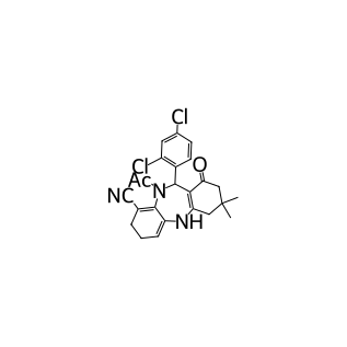 CC(=O)N1C2=C(C#N)CCC=C2NC2=C(C(=O)CC(C)(C)C2)C1c1ccc(Cl)cc1Cl